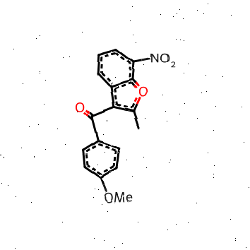 COc1ccc(C(=O)c2c(C)oc3c([N+](=O)[O-])cccc23)cc1